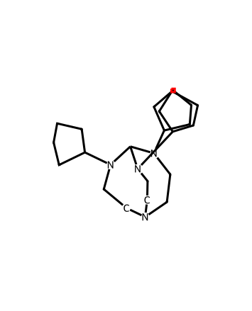 C1CCC(N2CCN3CCN(C4CCCC4)C2N(C2CCCC2)CC3)C1